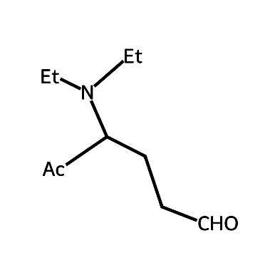 CCN(CC)C(CCC=O)C(C)=O